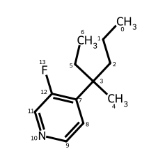 CCCC(C)(CC)c1ccncc1F